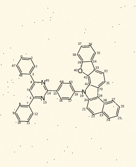 c1ccc(-c2cc(-c3ccccc3)nc(-c3ccc(-n4c5ccc6ccccc6c5c5ccc6c7ccccc7oc6c54)cc3)n2)cc1